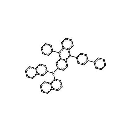 c1ccc(-c2ccc(-c3c4ccccc4c(-c4ccccc4)c4cc(N(c5ccc6ccccc6c5)c5cccc6ccccc56)ccc34)cc2)cc1